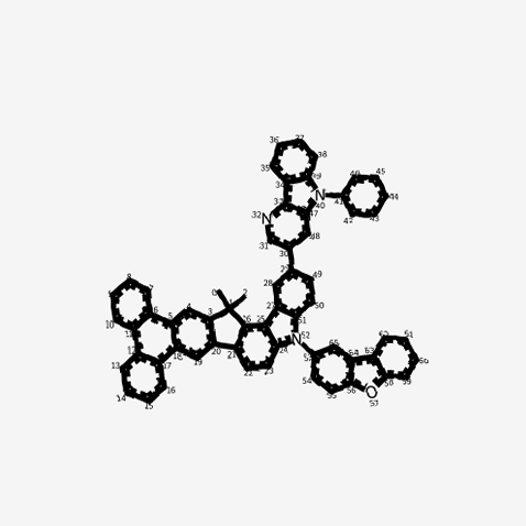 CC1(C)c2cc3c4ccccc4c4ccccc4c3cc2-c2ccc3c(c21)c1cc(-c2cnc4c5ccccc5n(-c5ccccc5)c4c2)ccc1n3-c1ccc2oc3ccccc3c2c1